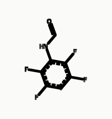 O=CNc1c(F)c(F)[c]c(F)c1F